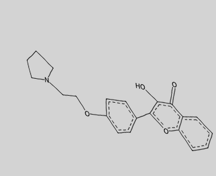 O=c1c(O)c(-c2ccc(OCCN3CCCC3)cc2)oc2ccccc12